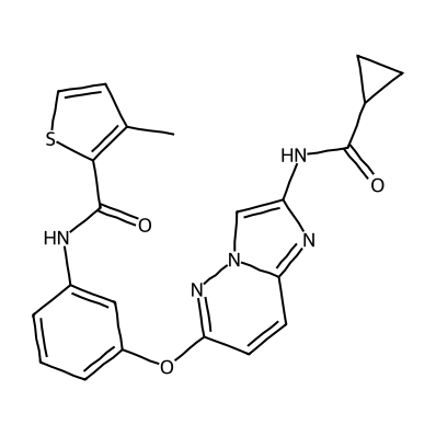 Cc1ccsc1C(=O)Nc1cccc(Oc2ccc3nc(NC(=O)C4CC4)cn3n2)c1